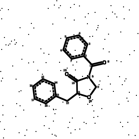 O=C(c1ccccc1)N1COC(Cc2ccccc2)C1=O